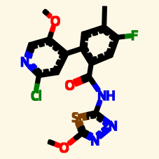 COc1nnc(NC(=O)c2cc(F)c(C)cc2-c2cc(Cl)ncc2OC)s1